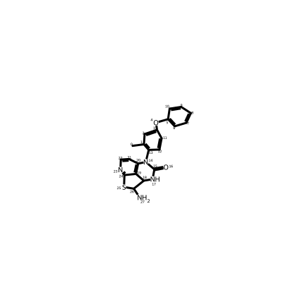 Cc1cc(Oc2ccccc2)ccc1N1C(=O)NC2c3c1ccnc3SC2N